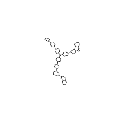 c1ccc(-c2ccc(-c3ccc(N(c4ccc(-c5ccc(-c6cccc(-c7ccc8ccccc8c7)c6)cc5)cc4)c4ccc(-c5ccc6sc7ccccc7c6c5)cc4)cc3)cc2)cc1